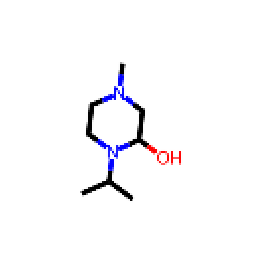 CC(C)N1CCN(C)CC1O